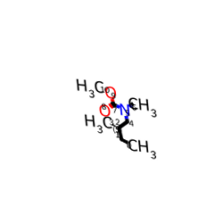 CC[C@H](C)CN(C)C(=O)OC